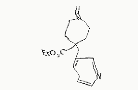 CCOC(=O)C1(c2cccnc2)CCNCC1